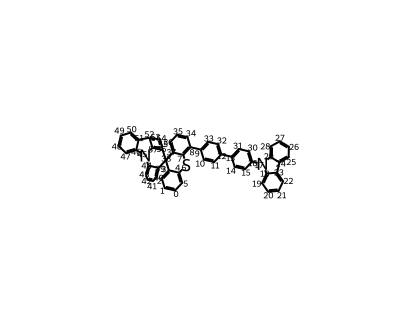 c1ccc2c(c1)Sc1c(-c3ccc(-c4ccc(-n5c6ccccc6c6ccccc65)cc4)cc3)cccc1C21c2ccccc2-n2c3ccccc3c3cccc1c32